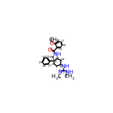 CN=C(NC)N[C@H]1CC[C@](CNC(=O)c2ccccc2OC)(c2ccccc2)CC1